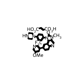 COc1cncc(-c2ccc3ncc4c(c3c2)n(-c2ccc(N3CCNCC3)c(C(F)(F)F)c2)c(=O)n4C)c1.O=C(O)C=CC(=O)O